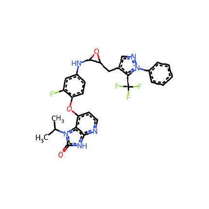 CC(C)n1c(=O)[nH]c2nccc(Oc3ccc(NC4OC4Cc4cnn(-c5ccccc5)c4C(F)(F)F)cc3F)c21